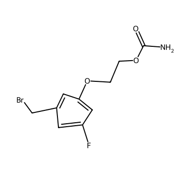 NC(=O)OCCOc1cc(F)cc(CBr)c1